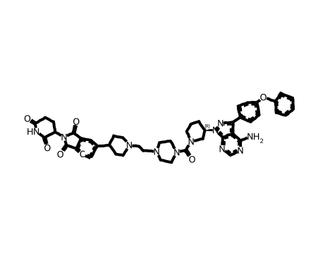 Nc1ncnc2c1c(-c1ccc(Oc3ccccc3)cc1)nn2[C@@H]1CCCN(C(=O)N2CCN(CCN3CCC(c4ccc5c(c4)C(=O)N(C4CCC(=O)NC4=O)C5=O)CC3)CC2)C1